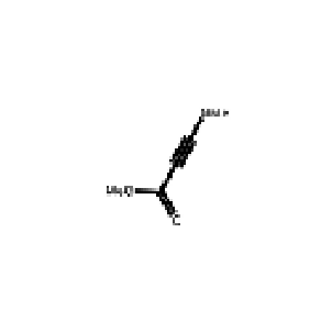 CNC#CC(=O)OC